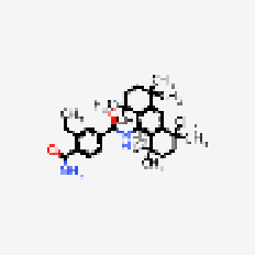 CCc1cc(C(=O)Nc2c3c(cc4c2C(C)(C)CCC4(C)C)C(C)(C)CCC3(C)C)ccc1C(N)=O